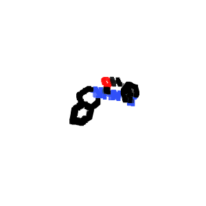 O=C(N[C@@H]1CN2CCC1CC2)N1CCc2ccccc2C1